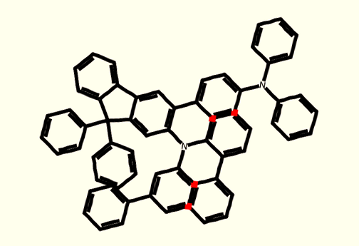 c1ccc(-c2cccc(N(c3ccccc3-c3ccccc3)c3cc4c(cc3-c3ccc(N(c5ccccc5)c5ccccc5)cc3)-c3ccccc3C4(c3ccccc3)c3ccccc3)c2)cc1